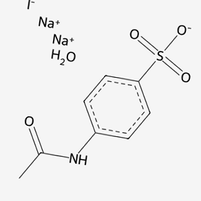 CC(=O)Nc1ccc(S(=O)(=O)[O-])cc1.O.[I-].[Na+].[Na+]